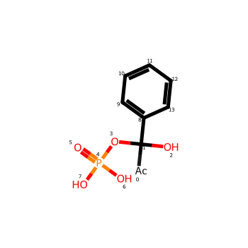 CC(=O)C(O)(OP(=O)(O)O)c1ccccc1